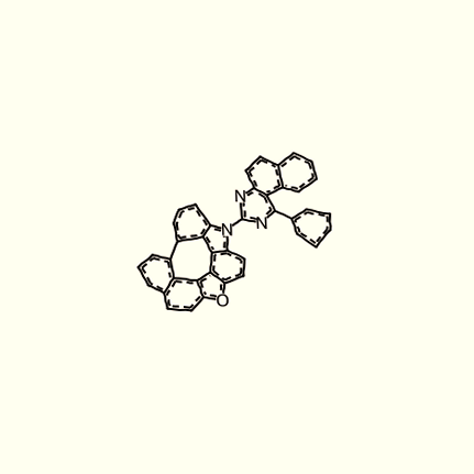 c1ccc(-c2nc(-n3c4cccc5c4c4c6c(ccc43)oc3ccc4cccc-5c4c36)nc3ccc4ccccc4c23)cc1